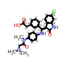 CN(C)CC(=O)N(C)c1ccc(N/C(=C2\C(=O)Nc3cc(Cl)ccc32)c2cccc(CC(=O)O)c2)cc1